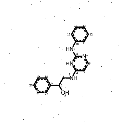 OC(CNc1ccnc(Nc2ccccc2)n1)c1ccccc1